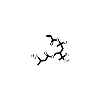 C=CC(=O)OC(C)(CC)CC(COC(=O)CC(C)N)C(C)(O)CC